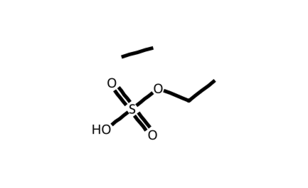 CC.CCOS(=O)(=O)O